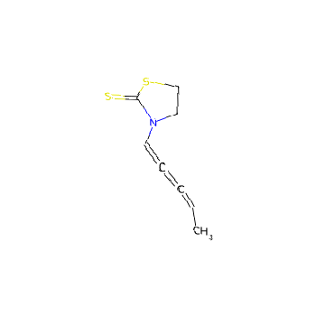 CC=C=C=CN1CCSC1=S